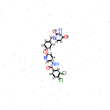 O=C(Nc1ccc(Oc2ccc(Cn3ccc(=O)[nH]c3=O)cc2)nc1)c1ccc(Cl)c(Cl)c1